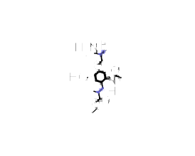 CCOC(=O)/C(C)=C/c1ccc(OC/C(=C/F)CN)cc1NC(C)=O.Cl